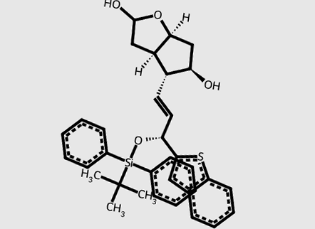 CC(C)(C)[Si](O[C@H](/C=C/[C@@H]1[C@H]2CC(O)O[C@H]2C[C@H]1O)c1cc2ccccc2s1)(c1ccccc1)c1ccccc1